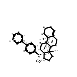 O[C@H]1CC[C@H]2[C@@H]3CCC4=CCCC[C@@H]4[C@H]3CC[C@]12Cc1ccc(-c2cccnc2)cc1